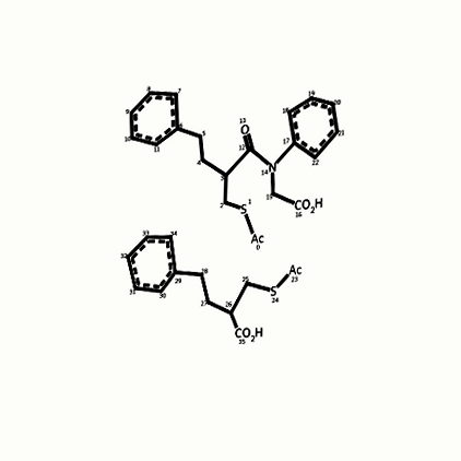 CC(=O)SCC(CCc1ccccc1)C(=O)N(CC(=O)O)c1ccccc1.CC(=O)SCC(CCc1ccccc1)C(=O)O